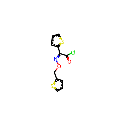 O=C(Cl)C(=NOCc1cccs1)c1cccs1